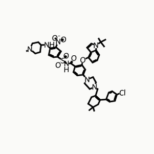 CN1CCC(Nc2ccc(S(=O)(=O)NC(=O)c3ccc(N4CCN(CC5=C(c6ccc(Cl)cc6)CC(C)(C)CC5)CC4)cc3Oc3cccc4c3ccn4C(C)(C)C)cc2[N+](=O)[O-])CC1